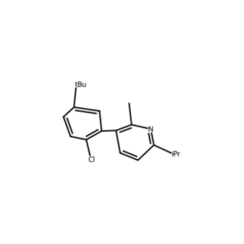 Cc1nc(C(C)C)ccc1-c1cc(C(C)(C)C)ccc1Cl